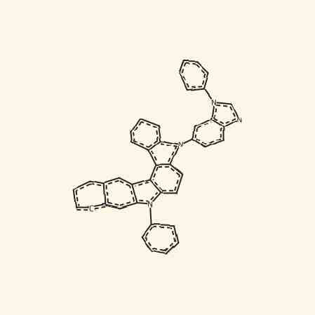 c1ccc(-n2cnc3ccc(-n4c5ccccc5c5c6c7cc8ccccc8cc7n(-c7ccccc7)c6ccc54)cc32)cc1